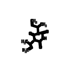 C=CC(C)n1c(=O)[nH]c(=O)n(C(C)C=C)c1=O